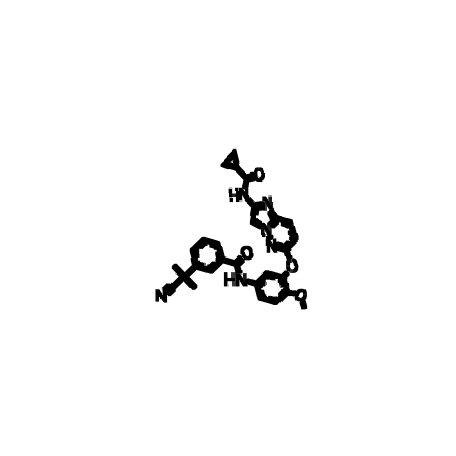 COc1ccc(NC(=O)c2cccc(C(C)(C)C#N)c2)cc1Oc1ccc2nc(NC(=O)C3CC3)cn2n1